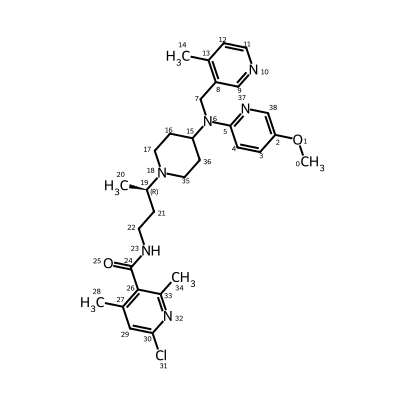 COc1ccc(N(Cc2cnccc2C)C2CCN([C@H](C)CCNC(=O)c3c(C)cc(Cl)nc3C)CC2)nc1